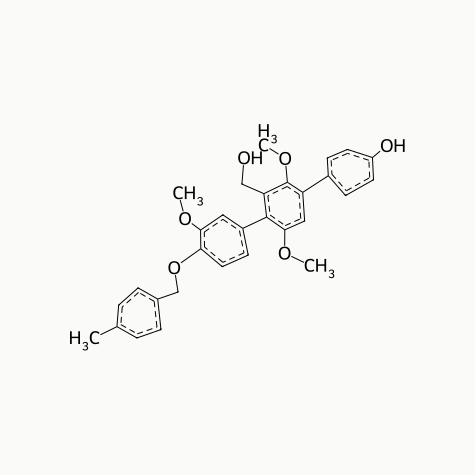 COc1cc(-c2c(OC)cc(-c3ccc(O)cc3)c(OC)c2CO)ccc1OCc1ccc(C)cc1